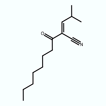 CCCCCCCC(=O)C(C#N)=CC(C)C